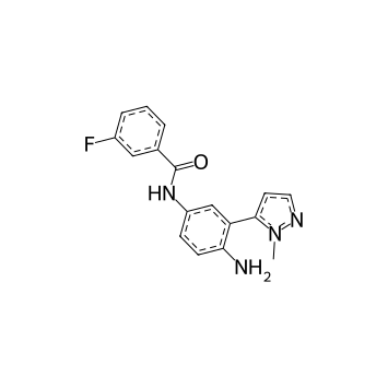 Cn1nccc1-c1cc(NC(=O)c2cccc(F)c2)ccc1N